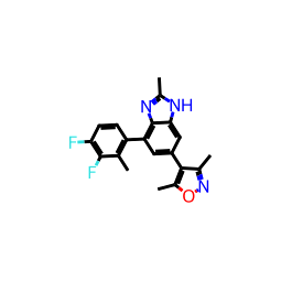 Cc1nc2c(-c3ccc(F)c(F)c3C)cc(-c3c(C)noc3C)cc2[nH]1